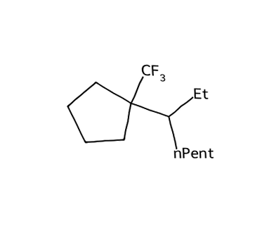 CCCCCC(CC)C1(C(F)(F)F)CCCC1